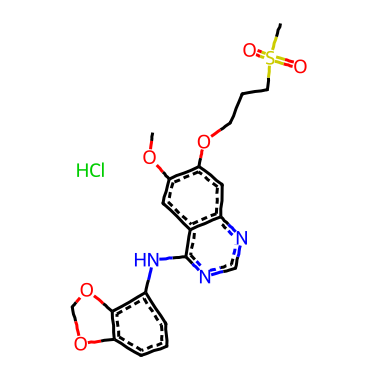 COc1cc2c(Nc3cccc4c3OCO4)ncnc2cc1OCCCS(C)(=O)=O.Cl